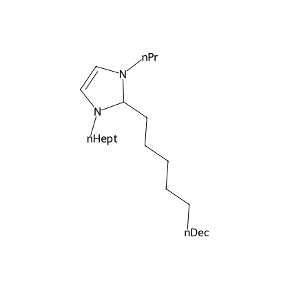 CCCCCCCCCCCCCCCC1N(CCC)C=CN1CCCCCCC